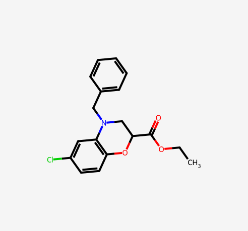 CCOC(=O)C1CN(Cc2ccccc2)c2cc(Cl)ccc2O1